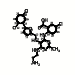 Cc1nc(NCCN)c(NCc2ccc(-c3cc(Cl)ccc3Cl)o2)c(Nc2ccc(Cl)cc2C(=O)O)n1